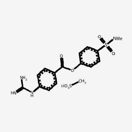 CNS(=O)(=O)c1ccc(OC(=O)c2ccc(NC(=N)N)cc2)cc1.CS(=O)(=O)O